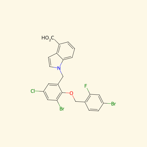 O=C(O)c1cccc2c1ccn2Cc1cc(Cl)cc(Br)c1OCc1ccc(Br)cc1F